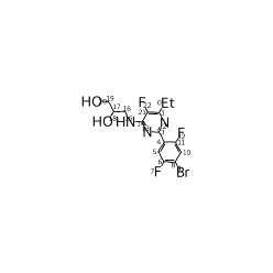 CCc1nc(-c2cc(F)c(Br)cc2F)nc(NC[C@@H](O)CO)c1F